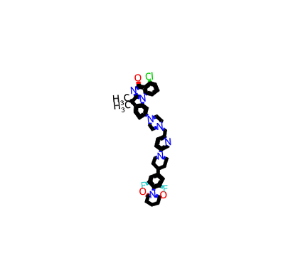 CC1(C)c2ccc(N3CCN(Cc4ccc(N5CCC(c6cc(F)c(N7C(=O)CCCC7=O)c(F)c6)CC5)cn4)CC3)cc2-n2c1nc(=O)c1c(Cl)cccc12